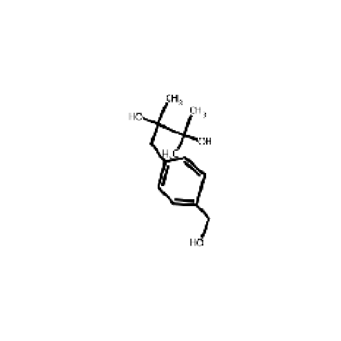 CC(C)(O)C(C)(O)Cc1ccc(CO)cc1